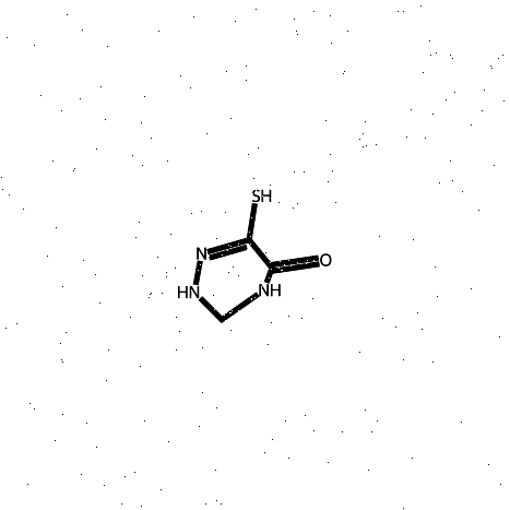 O=C1NCNN=C1S